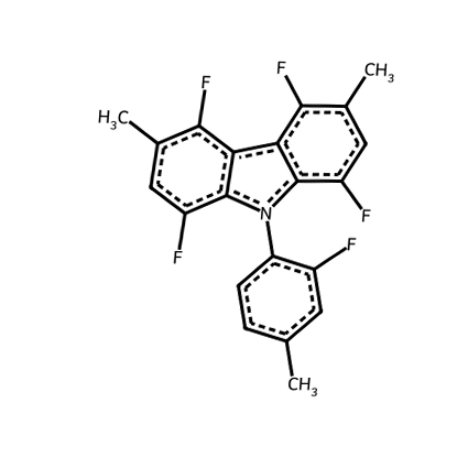 Cc1ccc(-n2c3c(F)cc(C)c(F)c3c3c(F)c(C)cc(F)c32)c(F)c1